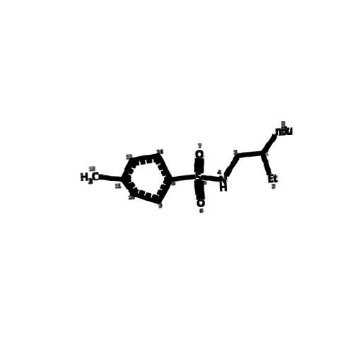 CCCCC(CC)CNS(=O)(=O)c1c[c]c(C)cc1